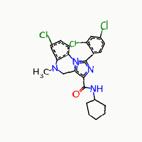 CN1Cc2c(C(=O)NC3CCCCC3)nc(-c3ccc(Cl)cc3Cl)n2-c2ccc(Cl)cc21